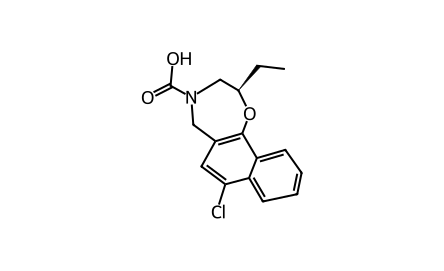 CC[C@@H]1CN(C(=O)O)Cc2cc(Cl)c3ccccc3c2O1